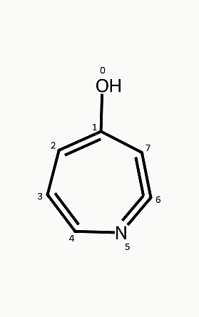 OC1=CC=CN=C=C1